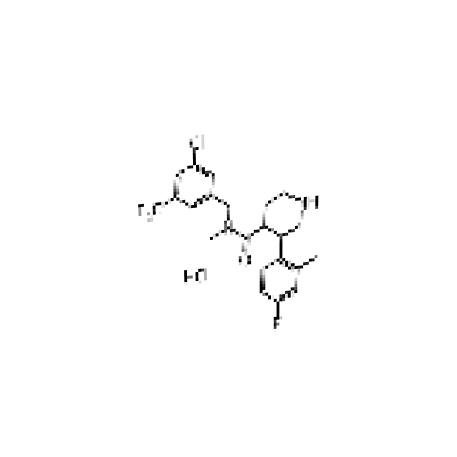 Cc1cc(F)ccc1C1CNCCC1C(=O)N(C)Cc1cc(Cl)cc(C(F)(F)F)c1.Cl